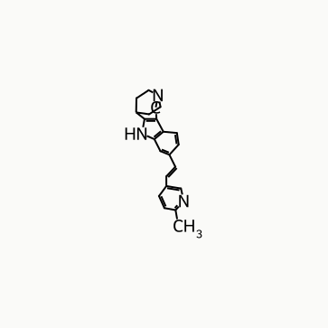 Cc1ccc(C=Cc2ccc3c4c([nH]c3c2)C2CCN(CC2)C4)cn1